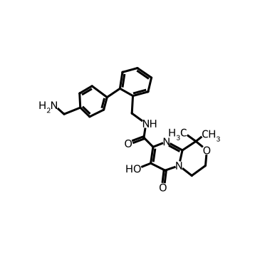 CC1(C)OCCn2c1nc(C(=O)NCc1ccccc1-c1ccc(CN)cc1)c(O)c2=O